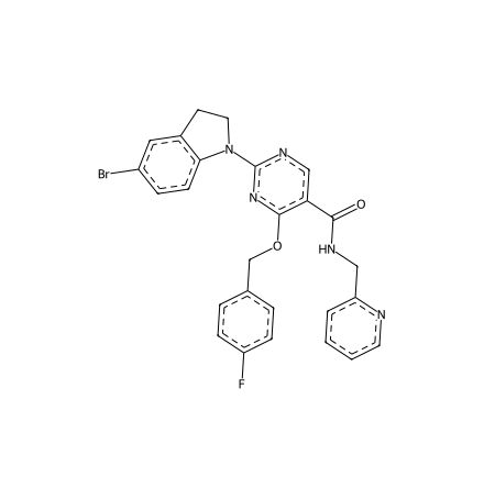 O=C(NCc1ccccn1)c1cnc(N2CCc3cc(Br)ccc32)nc1OCc1ccc(F)cc1